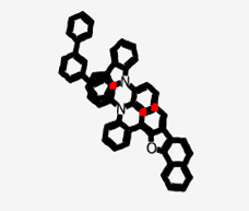 c1ccc(-c2cccc(-c3ccc(N(c4ccccc4-c4cccc5c4oc4c6ccccc6ccc54)c4ccccc4-n4c5ccccc5c5ccccc54)cc3)c2)cc1